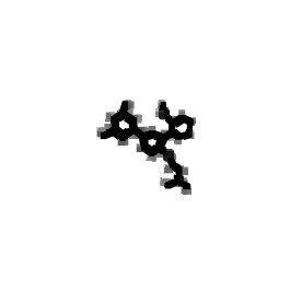 COC1=CC[CH]C=C1c1cc(-c2cc(C)cc(C)c2)ccc1OCCN(C)C